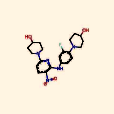 O=[N+]([O-])c1ccc(N2CCC(O)CC2)nc1Nc1ccc(N2CCC(O)CC2)c(F)c1